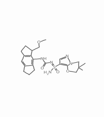 COCC1CCc2cc3c(c(NC(=O)N=S(N)(=O)c4cnn5c4OCC(C)(C)C5)c21)CCC3